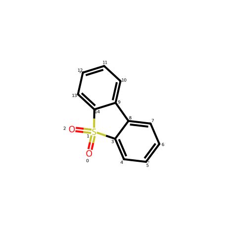 O=S1(=O)c2c[c]ccc2-c2cc[c]cc21